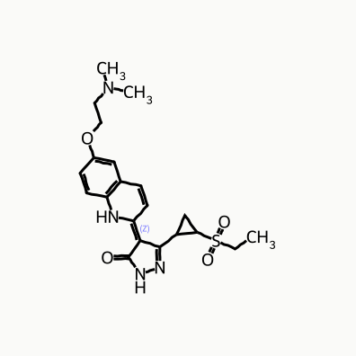 CCS(=O)(=O)C1CC1C1=NNC(=O)/C1=C1/C=Cc2cc(OCCN(C)C)ccc2N1